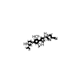 COc1cc(N2CCN[C@H](C(C)C)C2)ccc1-c1cc(Nc2cnc(C#N)cn2)n[nH]1.Cl